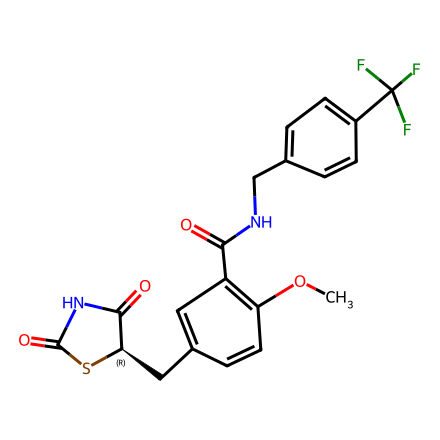 COc1ccc(C[C@H]2SC(=O)NC2=O)cc1C(=O)NCc1ccc(C(F)(F)F)cc1